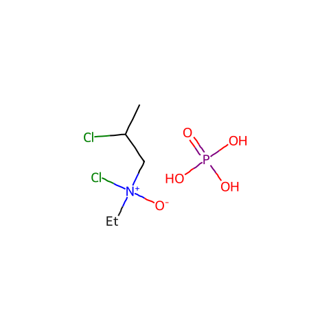 CC[N+]([O-])(Cl)CC(C)Cl.O=P(O)(O)O